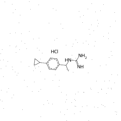 CC(NC(=N)N)c1ccc(C2CC2)cc1.Cl